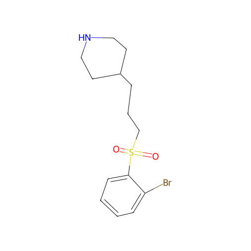 O=S(=O)(CCCC1CCNCC1)c1ccccc1Br